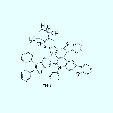 CC(C)(C)c1ccc(N2B3c4cc5oc(-c6ccccc6)c(-c6ccccc6)c5cc4-n4c5cc6c(cc5c5c7sc8ccccc8c7c(c3c54)-c3cc4c(cc32)sc2ccccc24)C(C)(C)CCC6(C)C)cc1